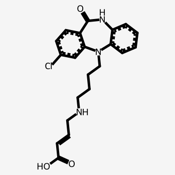 O=C(O)/C=C/CNCCCCN1c2ccccc2NC(=O)c2ccc(Cl)cc21